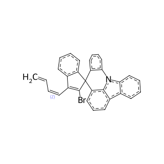 C=C/C=C\C1=C(Br)C2(c3ccccc31)c1ccccc1-n1c3ccccc3c3cccc2c31